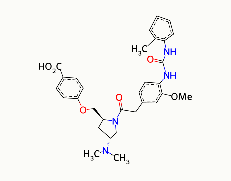 COc1cc(CC(=O)N2C[C@H](N(C)C)C[C@H]2COc2ccc(C(=O)O)cc2)ccc1NC(=O)Nc1ccccc1C